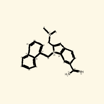 CN(C)Cc1cc2ccc(C(=N)N)cc2n1Cc1cccc2ccccc12